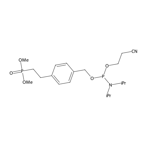 COP(=O)(CCc1ccc(COP(OCCC#N)N(C(C)C)C(C)C)cc1)OC